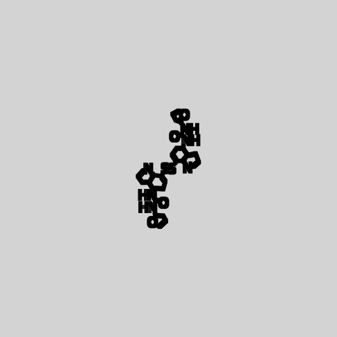 O=C(Nc1ccco1)Nc1ccc(SSc2ccc(NC(=O)Nc3ccco3)c3cccnc23)c2ncccc12